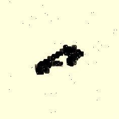 C=C1CN2C(=O)c3cc(C)c(OCCCCCOc4cc5c(cc4OC)C(=O)N4CCC[C@H]4C=C5)cc3C=C[C@]2(OC2CCCCO2)C1